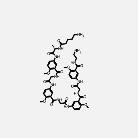 COc1ccc(NC(=O)CNC(=O)c2cc(NC(=O)CNC(=O)c3cc(NC(=O)CNC(=O)c4cc(NC(=O)[C@@H](C)NC(=O)CCCCN)ccc4OC)ccc3OC)ccc2OC)cc1C(=O)NCCN